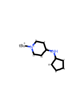 CC(C)(C)N1CCC(NC2CCCC2)CC1